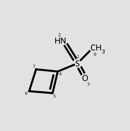 CS(=N)(=O)C1=CCC1